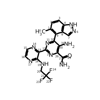 Cc1ccc2[nH]ncc2c1-c1nc(-c2nccnc2NCC(F)(F)F)nc(C(N)=O)c1N